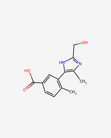 Cc1ccc(C(=O)O)cc1-c1[nH]c(CO)nc1C